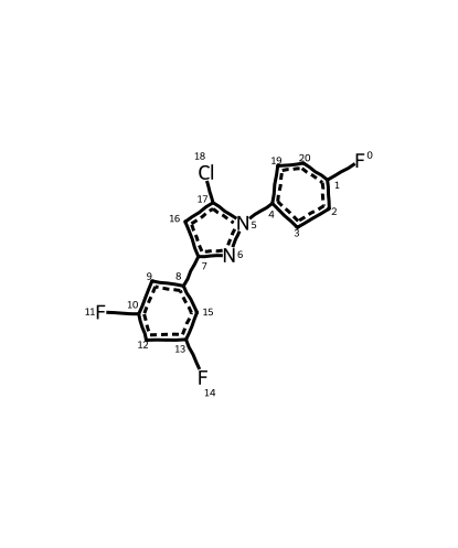 Fc1ccc(-n2nc(-c3cc(F)cc(F)c3)cc2Cl)cc1